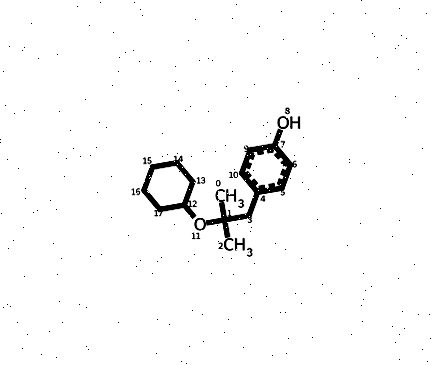 CC(C)(Cc1ccc(O)cc1)OC1CCCCC1